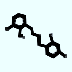 Cc1c(Cl)cccc1CCN=Cc1ccc(Cl)cc1Cl